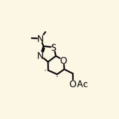 CC(=O)OCC1[CH][CH]C2N=C(N(C)C)SC2O1